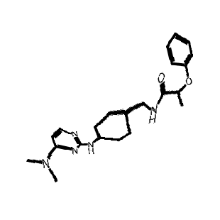 CC(Oc1ccccc1)C(=O)NCC1CCC(Nc2nccc(N(C)C)n2)CC1